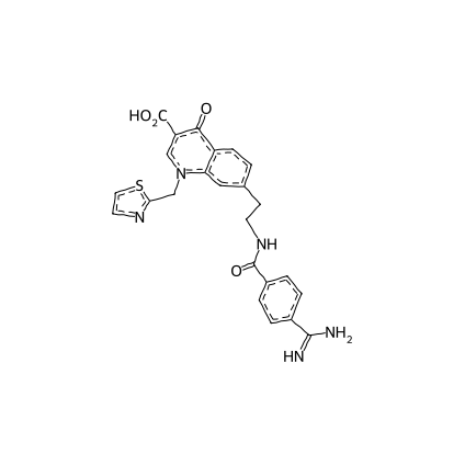 N=C(N)c1ccc(C(=O)NCCc2ccc3c(=O)c(C(=O)O)cn(Cc4nccs4)c3c2)cc1